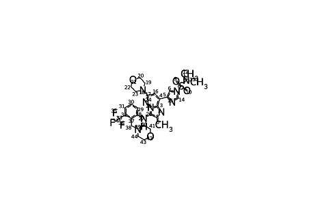 Cc1nc2c(-c3cn(S(=O)(=O)N(C)C)cn3)cc(N3CCOCC3)nn2c1Nc1cccc(C(F)(F)F)c1CN1CCOCC1